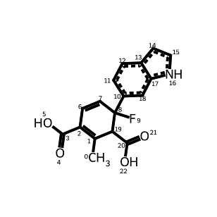 CC1=C(C(=O)O)C=CC(F)(c2ccc3cc[nH]c3c2)C1C(=O)O